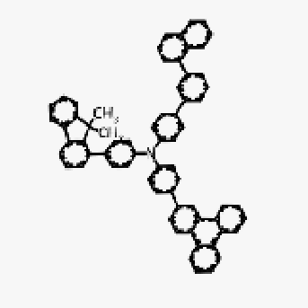 CC1(C)c2ccccc2-c2cccc(-c3ccc(N(c4ccc(-c5cccc(-c6cccc7ccccc67)c5)cc4)c4ccc(-c5ccc6c7ccccc7c7ccccc7c6c5)cc4)cc3)c21